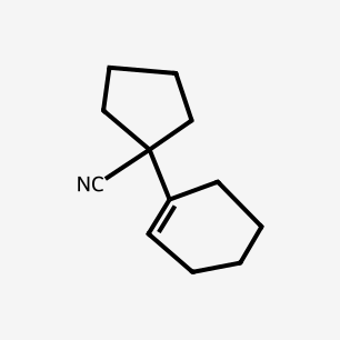 N#CC1(C2=CCCCC2)CCCC1